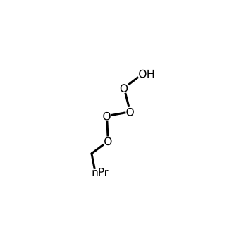 CCCCOOOOO